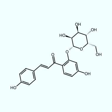 O=C(/C=C/c1ccc(O)cc1)c1ccc(O)cc1O[C@H]1O[C@@H](CO)[C@@H](O)[C@H](O)[C@@H]1O